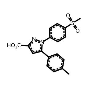 Cc1ccc(-c2cc(C(=O)O)nn2-c2ccc(S(C)(=O)=O)cc2)cc1